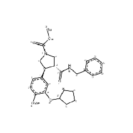 COc1ccc([C@H]2CN(C(=O)OC(C)(C)C)C[C@@H]2C(=O)NCc2ccccc2)cc1OC1CCCC1